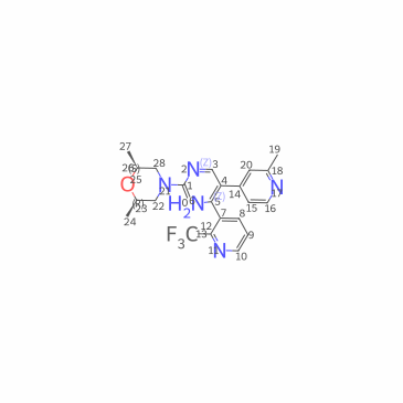 C=C(/N=C\C(=C(/N)c1cccnc1C(F)(F)F)c1ccnc(C)c1)N1C[C@@H](C)O[C@@H](C)C1